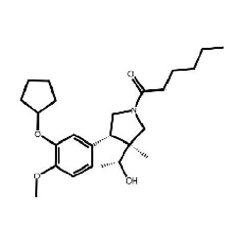 CCCC[CH]C(=O)N1C[C@@H](c2ccc(OC)c(OC3CCCC3)c2)[C@](C)([C@@H](C)O)C1